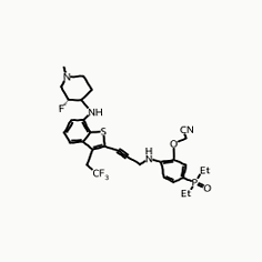 CCP(=O)(CC)c1ccc(NCC#Cc2sc3c(NC4CCN(C)C[C@H]4F)cccc3c2CC(F)(F)F)c(OCC#N)c1